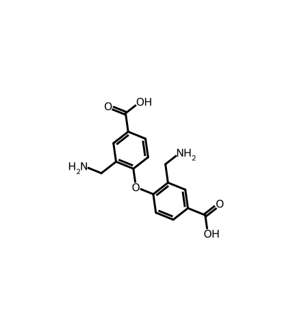 NCc1cc(C(=O)O)ccc1Oc1ccc(C(=O)O)cc1CN